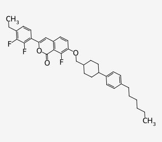 CCCCCCc1ccc(C2CCC(COc3ccc4cc(-c5ccc(CC)c(F)c5F)oc(=O)c4c3F)CC2)cc1